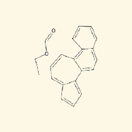 CCOC=O.c1cc2cccc3c(ccc4ccccc43)c-2c1